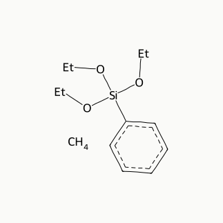 C.CCO[Si](OCC)(OCC)c1ccccc1